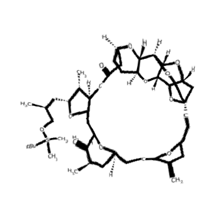 C=C1CC2CC[C@@]34C[C@H]5O[C@H]6[C@@H](O3)[C@H]3O[C@H](CC[C@@H]3O[C@H]6C5O4)CC(=O)C[C@H]3C(C[C@H]4O[C@@H](CCC1O2)C[C@@H](C)C4=C)O[C@H](C[C@H](C)CO[Si](C)(C)C(C)(C)C)[C@@H]3C